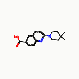 CC1(C)CCN(c2ccc3cc(C(=O)O)ccc3n2)CC1